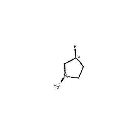 CN1CC[C@H](F)C1